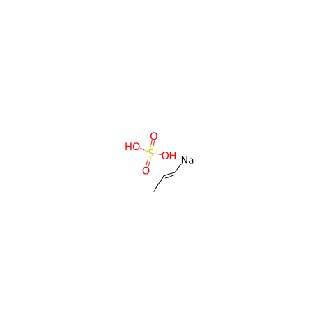 CC=[CH][Na].O=S(=O)(O)O